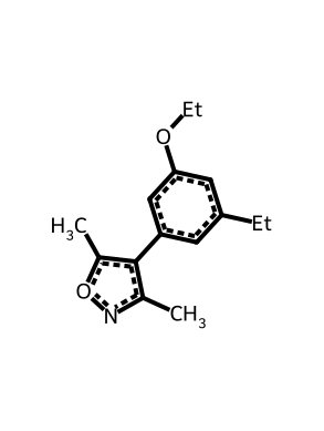 CCOc1cc(CC)cc(-c2c(C)noc2C)c1